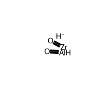 [H+].[O]=[AlH].[O]=[Zr]